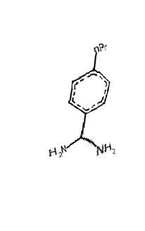 CCCc1ccc(C(N)N)cc1